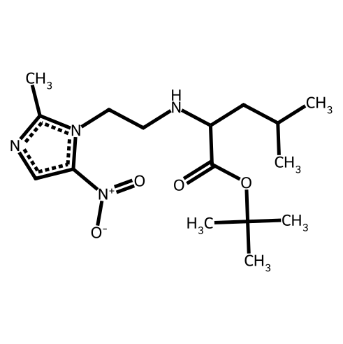 Cc1ncc([N+](=O)[O-])n1CCNC(CC(C)C)C(=O)OC(C)(C)C